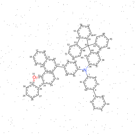 c1ccc(-c2ccc(N(c3ccc(-c4cc5ccccc5c5c4ccc4c6ccccc6oc45)cc3)c3cccc(C4(c5ccccc5)c5ccccc5-c5ccccc54)c3)cc2)cc1